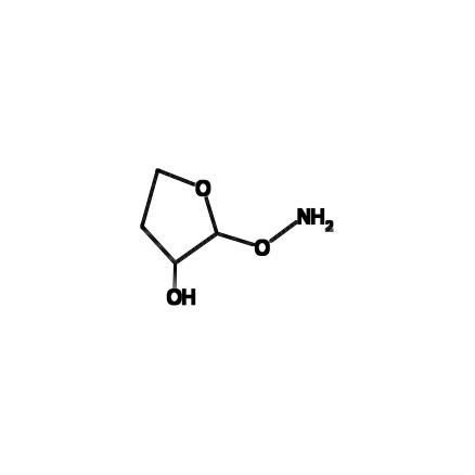 NOC1OCCC1O